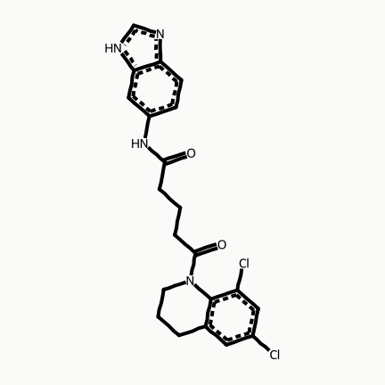 O=C(CCCC(=O)N1CCCc2cc(Cl)cc(Cl)c21)Nc1ccc2nc[nH]c2c1